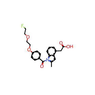 Cc1cc2c(CC(=O)O)cccc2n1C(=O)c1ccc(OCCOCCF)cc1